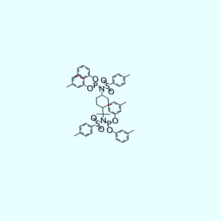 Cc1ccc(S(=O)(=O)N(C2CCC(C(C)(C)N(P(Oc3cccc(C)c3)Oc3cccc(C)c3)S(=O)(=O)c3ccc(C)cc3)CC2)P(Oc2cccc(C)c2)Oc2cccc(C)c2)cc1